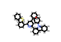 c1ccc(-c2cc(-c3cccc4c3sc3ccccc34)nc(-c3cccc4c5ccccc5n(-c5ccccc5)c34)c2)cc1